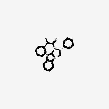 CC(C(=O)N1c2sc3ccccc3[n+]2C[C@H]1c1ccccc1)c1ccccc1